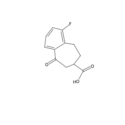 O=C1CC(C(=O)O)CCc2c(F)cccc21